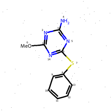 COc1nc(N)nc(Sc2ccccc2)n1